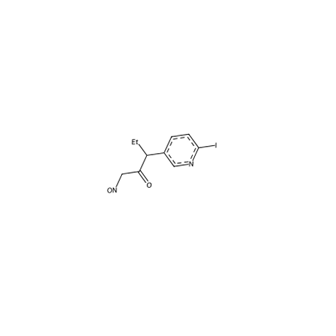 CCC(C(=O)CN=O)c1ccc(I)nc1